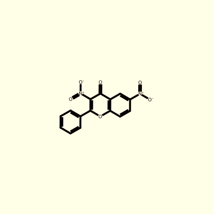 O=c1c([N+](=O)[O-])c(-c2ccccc2)oc2ccc([N+](=O)[O-])cc12